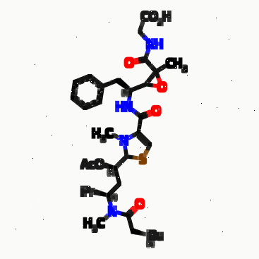 CC[C@H](C)CC(=O)N(C)[C@H](C[C@@H](OC(C)=O)C1SC=C(C(=O)N[C@@H](Cc2ccccc2)C2OC2(C)C(=O)NCC(=O)O)N1C)C(C)C